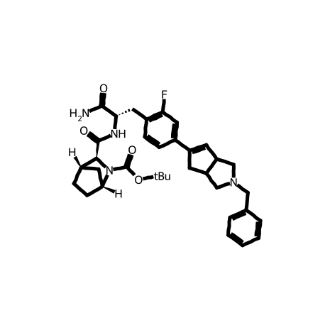 CC(C)(C)OC(=O)N1[C@@H]2CC[C@@H](C2)[C@H]1C(=O)N[C@@H](Cc1ccc(C2=CC3CN(Cc4ccccc4)CC3C2)cc1F)C(N)=O